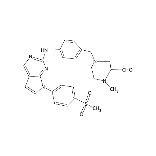 CN1CCN(Cc2ccc(Nc3ncc4ccn(-c5ccc(S(C)(=O)=O)cc5)c4n3)cc2)CC1C=O